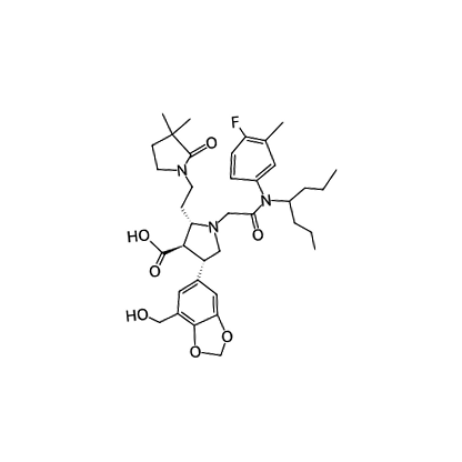 CCCC(CCC)N(C(=O)CN1C[C@H](c2cc(CO)c3c(c2)OCO3)[C@@H](C(=O)O)[C@@H]1CCN1CCC(C)(C)C1=O)c1ccc(F)c(C)c1